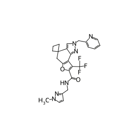 Cn1ccc(CNC(=O)c2oc3c(c2C(F)(F)F)-c2nn(Cc4ccccn4)cc2C2(CCC2)C3)n1